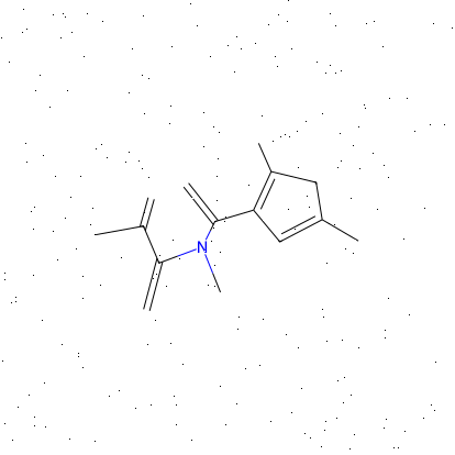 C=C(C)C(=C)N(C)C(=C)C1=C(C)CC(C)=C1